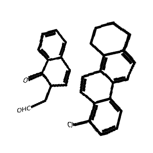 Clc1cccc2c1ccc1c3c(ccc12)CCCC3.O=CCC1C=Cc2ccccc2C1=O